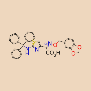 O=C(O)/C(=N\OCc1ccc2c(c1)OCO2)c1csc(NC(c2ccccc2)(c2ccccc2)c2ccccc2)n1